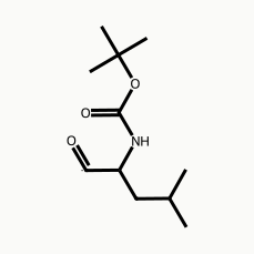 CC(C)CC([C]=O)NC(=O)OC(C)(C)C